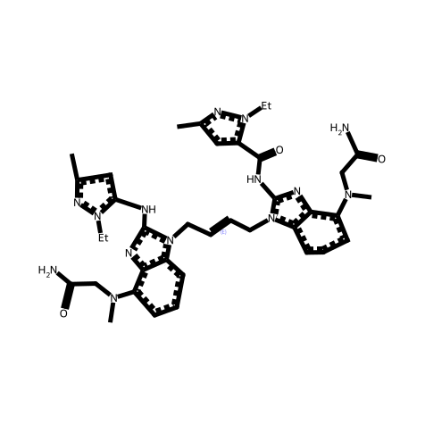 CCn1nc(C)cc1Nc1nc2c(N(C)CC(N)=O)cccc2n1C/C=C/Cn1c(NC(=O)c2cc(C)nn2CC)nc2c(N(C)CC(N)=O)cccc21